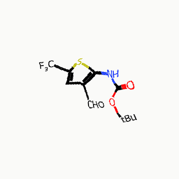 CC(C)(C)OC(=O)Nc1sc(C(F)(F)F)cc1C=O